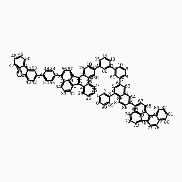 c1ccc(-c2cc(-c3cccc(-c4cccc(-c5ccc6c7c(c8ccccc8c6c5)-c5cccc6c(-c8ccc(-c9ccc%10oc%11ccccc%11c%10c9)cc8)ccc-7c56)c4)c3)cc3cc(-c4ccc5c6c(cccc46)-c4ccc6ccccc6c4-5)ccc23)cc1